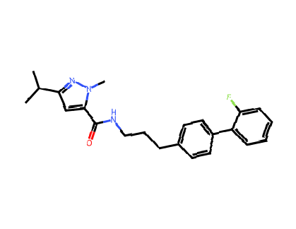 CC(C)c1cc(C(=O)NCCCc2ccc(-c3ccccc3F)cc2)n(C)n1